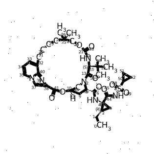 CC[C@@H]1C[C@]1(NC(=O)[C@@H]1C[C@@H]2CN1C(=O)[C@H](C(C)(C)C)NC(=O)OCC(C)(C)CCCCc1cccn3cc(nc13)C(=O)O2)C(=O)NS(=O)(=O)C1CC1